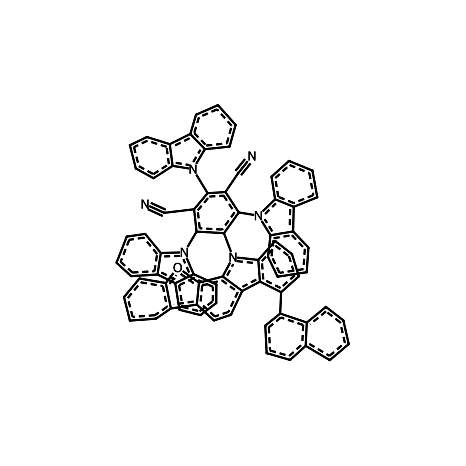 N#Cc1c(-n2c3ccccc3c3ccccc32)c(C#N)c(-n2c3ccccc3c3ccccc32)c(-n2c3cccc(-c4cccc5ccccc45)c3c3ccc4c5ccccc5oc4c32)c1-n1c2ccccc2c2ccccc21